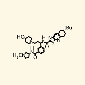 CN1CC[C@H](NC(=O)c2cccc(C(CCN3CCC(O)CC3)NC(=O)c3nc4cc5c(nc4s3)CC[C@H](C(C)(C)C)C5)c2)C1